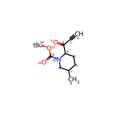 C#CC(=O)C1CCC(C)CN1C(=O)OC(C)(C)C